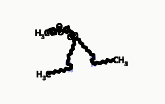 CCCCCCCC/C=C\C/C=C\CCCCCCCCC(CCCCCCCC/C=C\C/C=C\CCCCCCCC)OC(=O)CC1CCC(OC(=O)C2CCN(C)CC2)C1